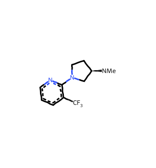 CN[C@@H]1CCN(c2ncccc2C(F)(F)F)C1